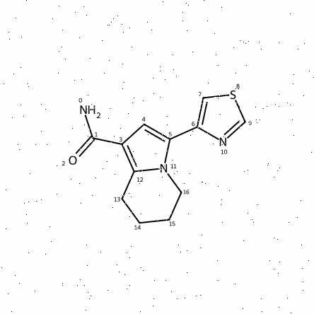 NC(=O)c1cc(-c2cscn2)n2c1CCCC2